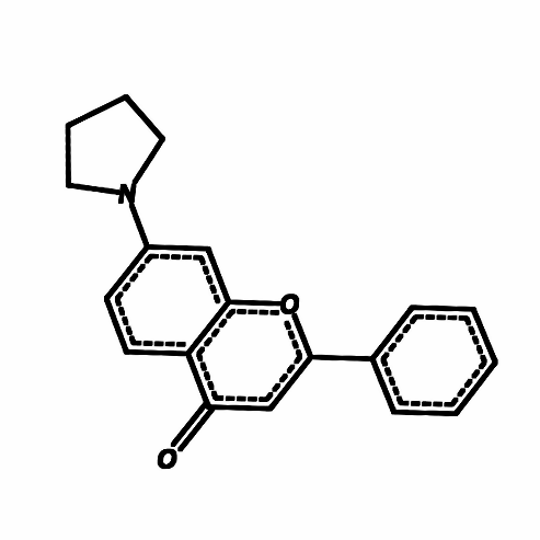 O=c1cc(-c2ccccc2)oc2cc(N3CCCC3)ccc12